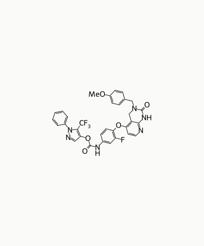 COc1ccc(CN2Cc3c(Oc4ccc(NC(=O)Oc5cnn(-c6ccccc6)c5C(F)(F)F)cc4F)ccnc3NC2=O)cc1